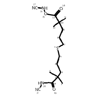 CC(C)(CCCSCCCC(C)(C)C(=O)ONC#N)C(=O)NC#N